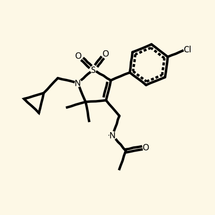 CC(=O)[N]CC1=C(c2ccc(Cl)cc2)S(=O)(=O)N(CC2CC2)C1(C)C